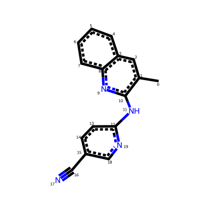 Cc1cc2ccccc2nc1Nc1ccc(C#N)cn1